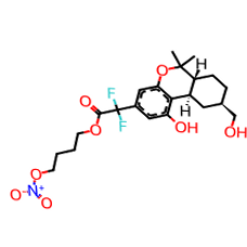 CC1(C)Oc2cc(C(F)(F)C(=O)OCCCCO[N+](=O)[O-])cc(O)c2[C@@H]2C[C@H](CO)CC[C@H]21